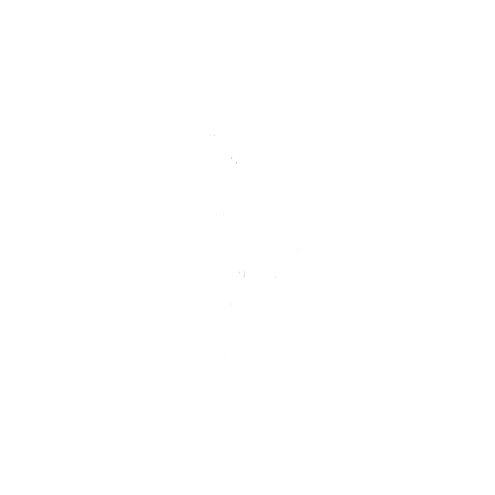 O=C(O)C(CCc1ccccc1N1C(=O)C=CC1=O)N1C(=O)CC(S(=O)(=O)O)C1=O